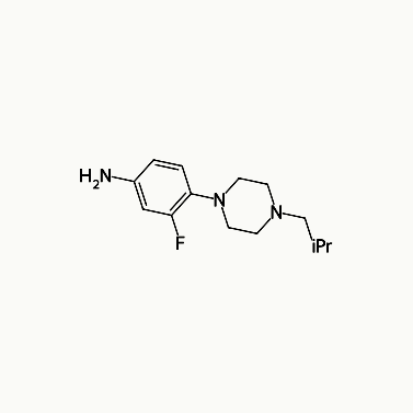 CC(C)CN1CCN(c2ccc(N)cc2F)CC1